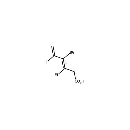 C=C(F)/C(=C(\CC)CC(=O)O)C(C)C